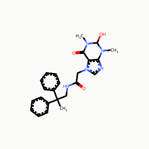 CN1C(=O)c2c(ncn2CC(=O)NCC(C)(c2ccccc2)c2ccccc2)N(C)C1O